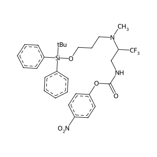 CN(CCCO[Si](c1ccccc1)(c1ccccc1)C(C)(C)C)C(CNC(=O)Oc1ccc([N+](=O)[O-])cc1)C(F)(F)F